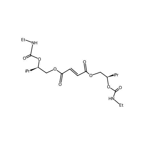 CCNC(=O)O[C@@H](COC(=O)/C=C/C(=O)OC[C@H](OC(=O)NCC)C(C)C)C(C)C